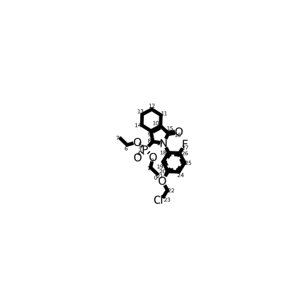 CCOP(=O)(OCC)C1C2=C(CCCC2)C(=O)N1c1cc(OCCl)ccc1F